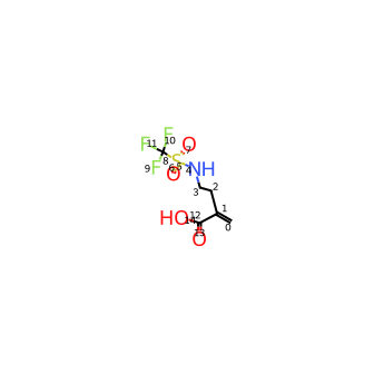 C=C(CCNS(=O)(=O)C(F)(F)F)C(=O)O